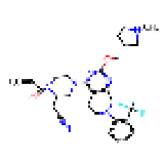 C=CC(=O)N1CCN(c2nc(OC[C@@H]3CCN(C)C3)nc3c2CCN(c2ccccc2C(F)(F)F)C3)CC1CC#N